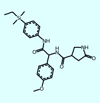 CC[Si](C)(C)c1ccc(NC(=O)C(NC(=O)C2CNC(=O)C2)c2ccc(OC)cc2)cc1